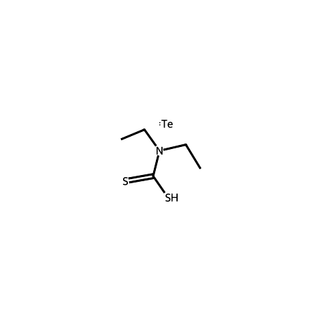 CCN(CC)C(=S)S.[Te]